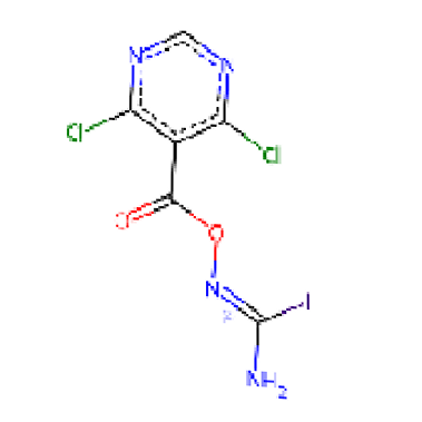 N/C(I)=N/OC(=O)c1c(Cl)ncnc1Cl